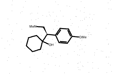 CNC[C@@H](c1ccc(OC)cc1)C1(O)CCCCC1